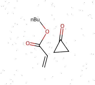 C=CC(=O)OCCCC.O=C1CC1